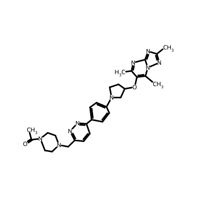 CC(=O)N1CCN(Cc2ccc(-c3ccc(N4CCC(Oc5c(C)nc6nc(C)nn6c5C)C4)cc3)nn2)CC1